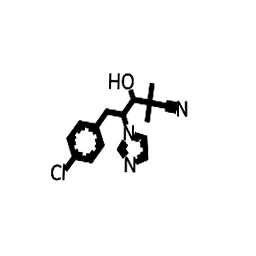 CC(C)(C#N)C(O)C(Cc1ccc(Cl)cc1)n1ccnc1